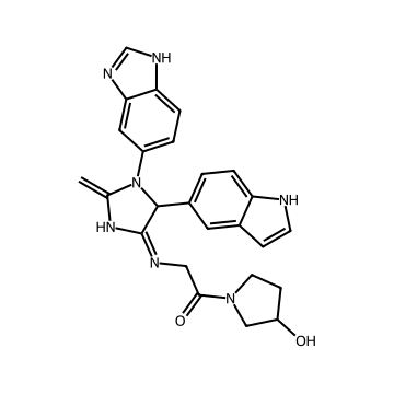 C=C1N/C(=N/CC(=O)N2CCC(O)C2)C(c2ccc3[nH]ccc3c2)N1c1ccc2[nH]cnc2c1